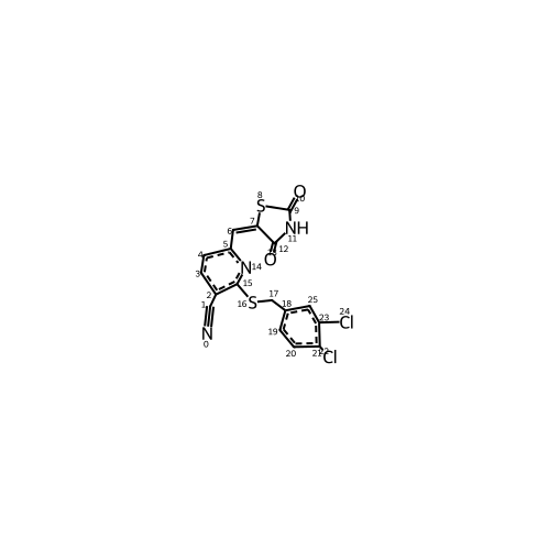 N#Cc1ccc(C=C2SC(=O)NC2=O)nc1SCc1ccc(Cl)c(Cl)c1